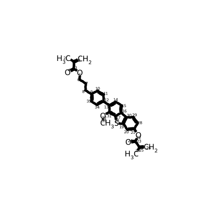 C=C(C)C(=O)OCCCc1ccc(-c2ccc3c(sc4cc(OC(=O)C(=C)C)ccc43)c2OC)cc1